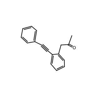 CC(=O)Cc1ccccc1C#Cc1ccccc1